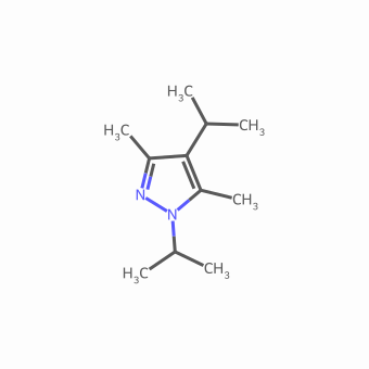 Cc1nn(C(C)C)c(C)c1C(C)C